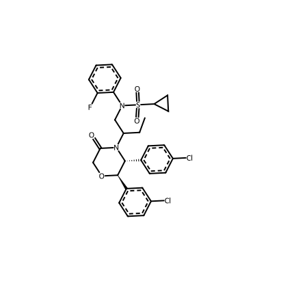 CCC(CN(c1ccccc1F)S(=O)(=O)C1CC1)N1C(=O)CO[C@H](c2cccc(Cl)c2)[C@H]1c1ccc(Cl)cc1